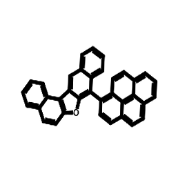 c1ccc2c(-c3ccc4ccc5cccc6ccc3c4c56)c3oc4ccc5ccccc5c4c3cc2c1